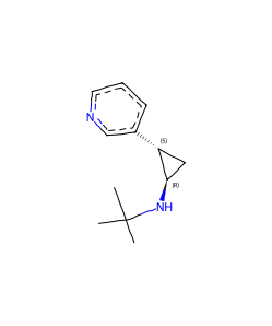 CC(C)(C)N[C@@H]1C[C@H]1c1cccnc1